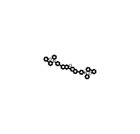 c1ccc(N(c2ccc(-c3ccc4cc5c(cc4c3)oc3cc4cc(-c6ccc(N(c7ccccc7)c7cccc8c7oc7ccccc78)cc6)ccc4cc35)cc2)c2cccc3c2oc2ccccc23)cc1